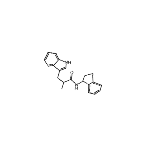 CC(Cc1c[nH]c2ccccc12)C(=O)NC1CCc2ccccc21